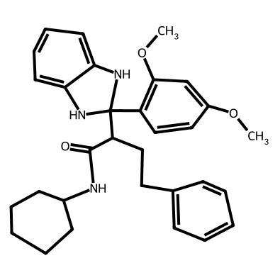 COc1ccc(C2(C(CCc3ccccc3)C(=O)NC3CCCCC3)Nc3ccccc3N2)c(OC)c1